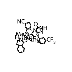 COC(=O)C1=C(C)N(c2cccc(C(F)(F)F)c2)c2n[nH]c(=O)n2[C@@H]1c1ccc(C#N)cc1CC[N+](C)(C)Cc1nccc2ccccc12